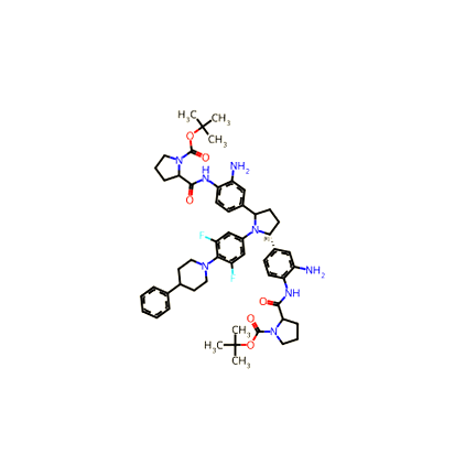 CC(C)(C)OC(=O)N1CCCC1C(=O)Nc1ccc(C2CC[C@H](c3ccc(NC(=O)C4CCCN4C(=O)OC(C)(C)C)c(N)c3)N2c2cc(F)c(N3CCC(c4ccccc4)CC3)c(F)c2)cc1N